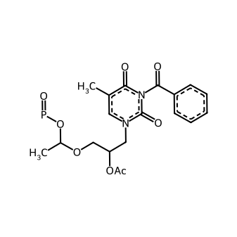 CC(=O)OC(COC(C)OP=O)Cn1cc(C)c(=O)n(C(=O)c2ccccc2)c1=O